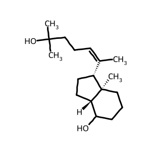 C/C(=C/CCC(C)(C)O)[C@H]1CC[C@H]2C(O)CCC[C@]12C